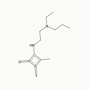 CCCN(CC)CCNc1c(C)c(=S)c1=O